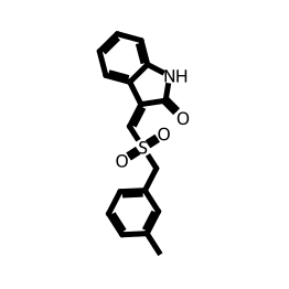 Cc1cccc(CS(=O)(=O)C=C2C(=O)Nc3ccccc32)c1